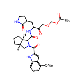 COc1cccc2[nH]c(C(=O)N3C[C@@H]4CCC[C@@H]4[C@H]3C(=O)N[C@@H](C[C@@H]3CCNC3=O)C(=O)COCOC(=O)C(C)(C)C)cc12